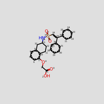 O=C(O)COc1cccc2c1CCC(NS(=O)(=O)C=C(c1ccccc1)c1ccccc1)C2